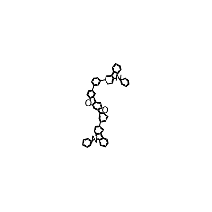 C1=c2c(n(-c3ccccc3)c3ccccc23)=CCC1c1cccc(-c2ccc3oc4cc5c(cc4c3c2)oc2ccc(-c3ccc4c(c3)c3ccccc3n4-c3ccccc3)cc25)c1